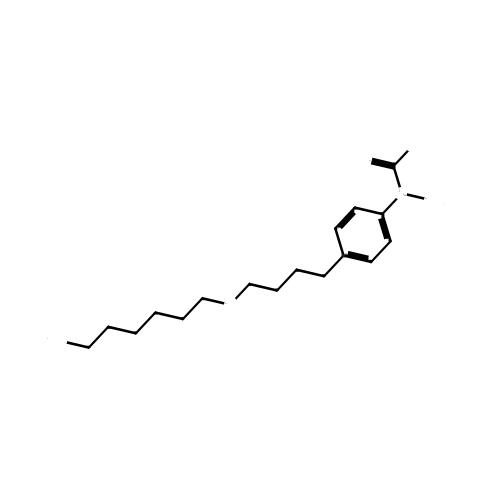 CC(=O)OCCCCCCOCCCCc1ccc(N(C)C(=O)C(F)(F)F)cc1